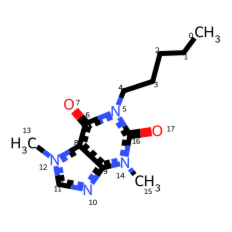 CCCCCn1c(=O)c2c(ncn2C)n(C)c1=O